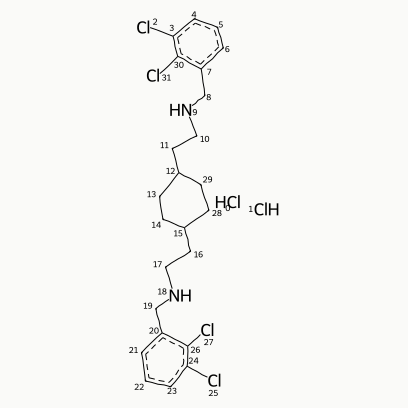 Cl.Cl.Clc1cccc(CNCCC2CCC(CCNCc3cccc(Cl)c3Cl)CC2)c1Cl